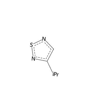 CC(C)c1cnsn1